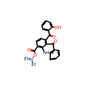 CCCCCCc1c(C(=O)ON(CC)CC)ccc(C(=O)c2ccccc2O)c1C(=O)c1ccccc1